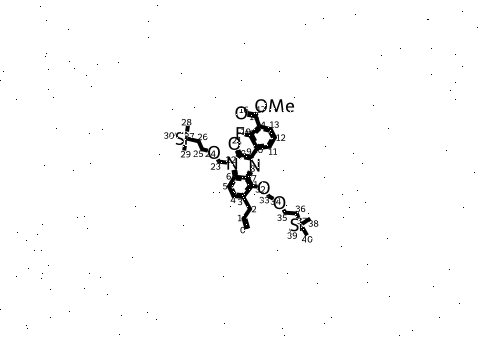 C=CCc1ccc2c(nc(-c3cccc(C(=O)OC)c3F)c(=O)n2COCC[Si](C)(C)C)c1OCOCC[Si](C)(C)C